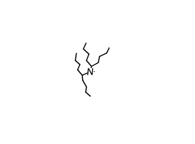 CCCCC(CCCC)[N]C(CCCC)CCCC